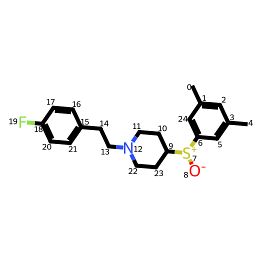 Cc1cc(C)cc([S+]([O-])C2CCN(CCc3ccc(F)cc3)CC2)c1